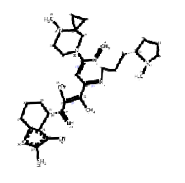 C=N\C(=C/C(=N\CCC[C@@H]1CCCN1C)C(/C)=C(\CCC)C(=N)[C@H]1CCCc2sc(N)c(C#N)c21)N1CCN(C)C2(CC2)C1